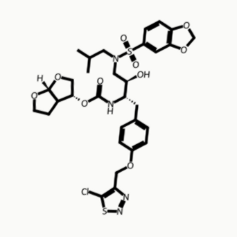 CC(C)CN(C[C@@H](O)[C@H](Cc1ccc(OCc2nnsc2Cl)cc1)NC(=O)O[C@H]1CO[C@H]2OCCC21)S(=O)(=O)c1ccc2c(c1)OCO2